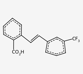 O=C(O)c1ccccc1C=Cc1cccc(C(F)(F)F)c1